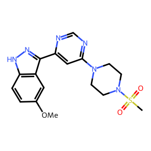 COc1ccc2[nH]nc(-c3cc(N4CCN(S(C)(=O)=O)CC4)ncn3)c2c1